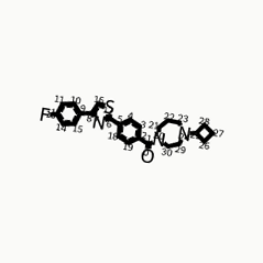 O=C(c1ccc(-c2nc(-c3ccc(F)cc3)cs2)cc1)N1CCCN(C2CCC2)CC1